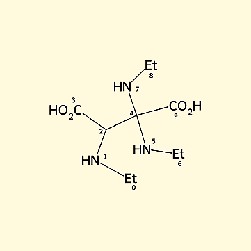 CCNC(C(=O)O)C(NCC)(NCC)C(=O)O